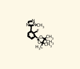 Cn1ncnc1-c1cccc(B2OC(C)(C)C(C)(C)O2)c1F